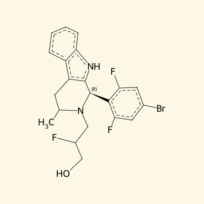 CC1Cc2c([nH]c3ccccc23)[C@@H](c2c(F)cc(Br)cc2F)N1CC(F)CO